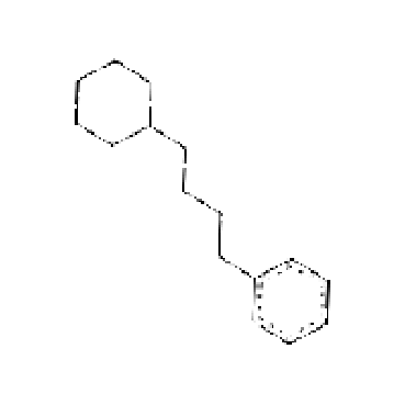 [CH](CCCc1ccccc1)C1CCCCC1